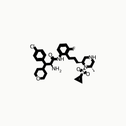 C[C@H]1CNC[C@H](CCCc2c(F)cccc2NC(=O)[C@@H](N)C(c2ccc(Cl)cc2)C2CCOCC2)N1S(=O)(=O)C1CC1